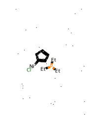 CCP(CC)CC.[Cl-].[Ni+][C]1=CC=CC1